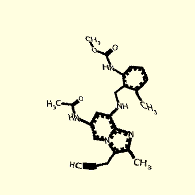 C#CCc1c(C)nc2c(NCc3c(C)cccc3NC(=O)OC)cc(NC(C)=O)cn12